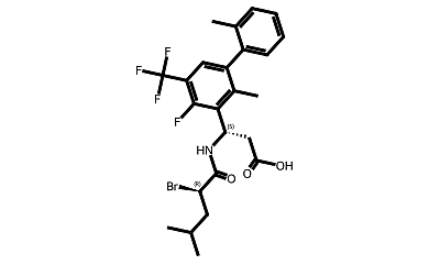 Cc1ccccc1-c1cc(C(F)(F)F)c(F)c([C@H](CC(=O)O)NC(=O)[C@H](Br)CC(C)C)c1C